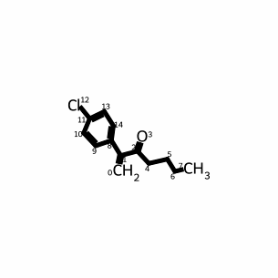 C=C(C(=O)CCCC)c1ccc(Cl)cc1